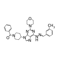 Cc1cccc(C=NNc2nc(N3CCOCC3)nc3c2ncn3C2CCN(C(=O)c3ccccc3)CC2)c1